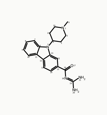 CN1CCC(n2c3ccccc3c3ccc(C(=O)N=C(N)N)cc32)CC1